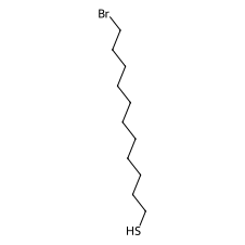 SCCCCCCCCCCCBr